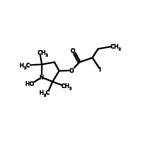 CCC(I)C(=O)OC1CC(C)(C)N(O)C1(C)C